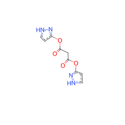 O=C(CC(=O)Oc1cc[nH]n1)Oc1cc[nH]n1